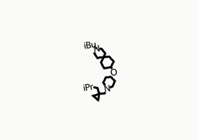 CCC(C)N1CCC2(CCC(OC3CCN(CC4(CC(C)C)CC4)CC3)CC2)CC1